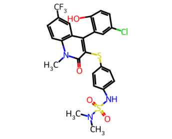 CN(C)S(=O)(=O)Nc1ccc(Sc2c(-c3cc(Cl)ccc3O)c3cc(C(F)(F)F)ccc3n(C)c2=O)cc1